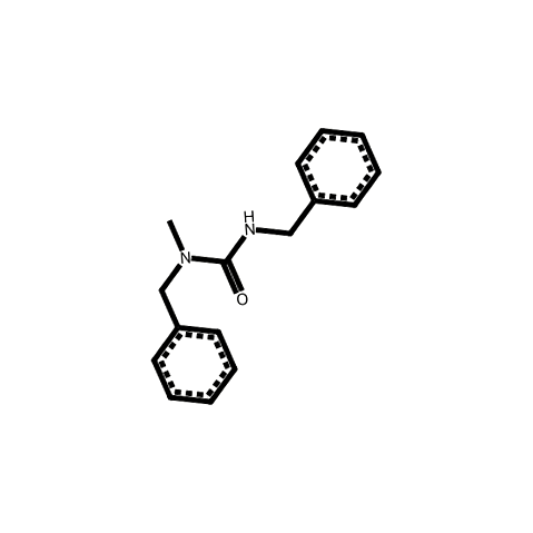 CN(Cc1ccccc1)C(=O)NCc1ccccc1